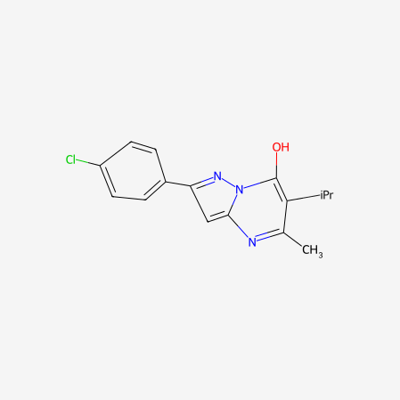 Cc1nc2cc(-c3ccc(Cl)cc3)nn2c(O)c1C(C)C